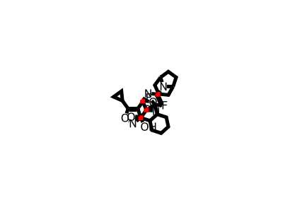 O=C(O)c1cnc(N2C3CCC2CC(OCc2c(C4CCCCC4C(F)(F)F)noc2C2CC2)C3)cn1